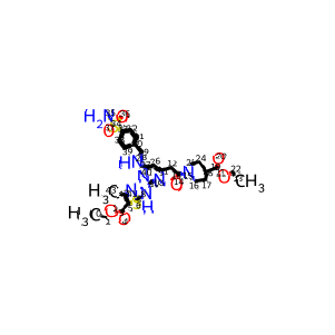 CCOC(=O)c1sc(Nc2nc(CC(=O)N3CCC(C(=O)OCC)CC3)cc(NCc3ccc(S(N)(=O)=O)cc3)n2)nc1C